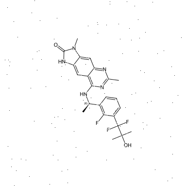 Cc1nc(N[C@H](C)c2cccc(C(F)(F)C(C)(C)O)c2F)c2cc3[nH]c(=O)n(C)c3cc2n1